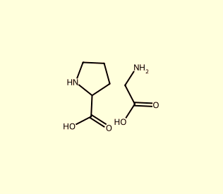 NCC(=O)O.O=C(O)C1CCCN1